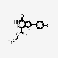 CCOC(=O)c1n[nH]c(=O)c2cc(-c3ccc(Cl)cc3)sc12